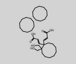 C1CCCCCCCCC1.C1CCCCCCCCC1.O=C(O)C=CC1(C=CC(=O)O)CCCCCCCCC1(CO)CO